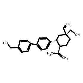 C=C[C@]1(CO)CC[C@@H](C(=C)C)[C@H](c2ccc(-c3ccc(CO)cc3)cc2)C1